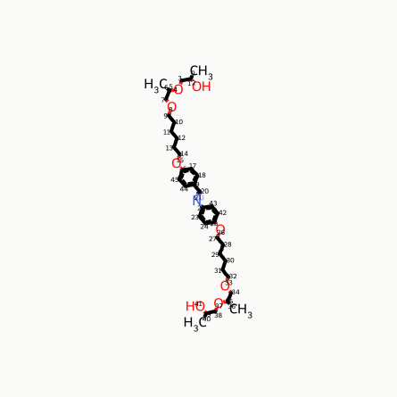 CC(O)COC(C)COCCCCCCOc1ccc(/C=N/c2ccc(OCCCCCCOCC(C)OCC(C)O)cc2)cc1